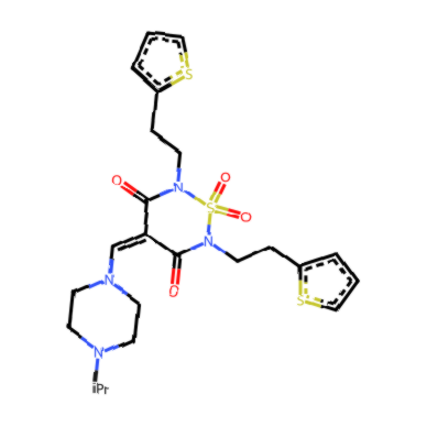 CC(C)N1CCN(C=C2C(=O)N(CCc3cccs3)S(=O)(=O)N(CCc3cccs3)C2=O)CC1